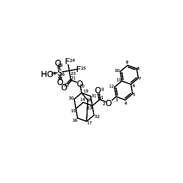 O=C(Oc1ccc2ccccc2c1)C12CC3CC(CC(OC(=O)C(F)(F)S(=O)(=O)O)(C3)C1)C2